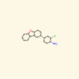 Nc1ccc(-c2ccc3oc4ccccc4c3c2)cc1Cl